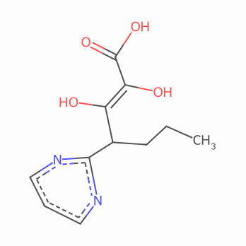 CCCC(C(O)=C(O)C(=O)O)c1ncccn1